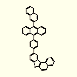 c1ccc2cc(-c3c4ccccc4c(-c4ccc(-c5ccc6sc7ccc8ccccc8c7c6c5)cc4)c4ccccc34)ccc2c1